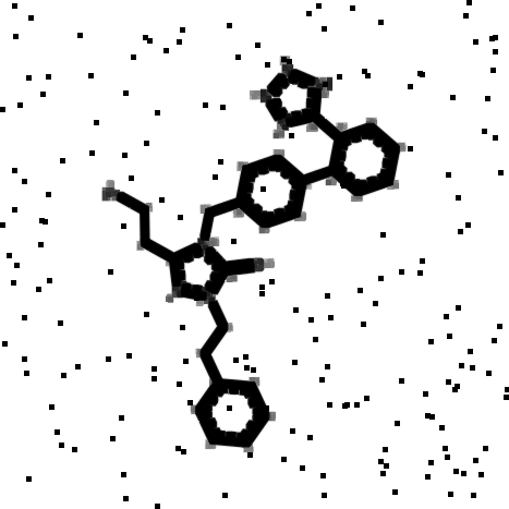 CC(C)CCc1nn(CCc2ccccc2)c(=O)n1Cc1ccc(-c2ccccc2-c2nnn[nH]2)cc1